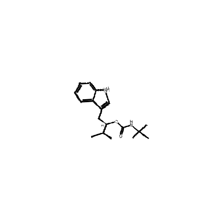 CC(C)[C@@H](Cc1c[nH]c2ccccc12)OC(=O)NC(C)(C)C